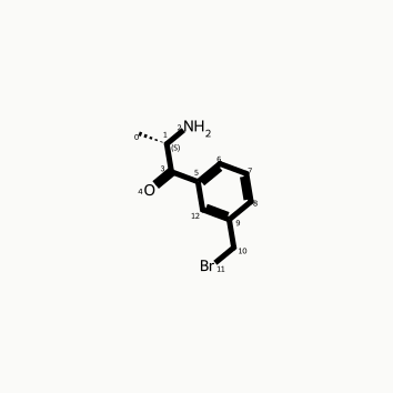 C[C@H](N)C(=O)c1cccc(CBr)c1